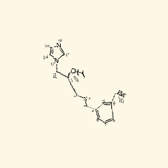 OC(CSCc1cccc(Br)c1)Cn1ccnc1